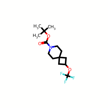 CC(C)(C)OC(=O)N1CCC2(CC1)CC(OC(F)(F)F)C2